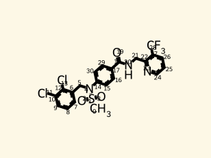 CS(=O)(=O)N(Cc1cccc(Cl)c1Cl)c1ccc(C(=O)NCc2ncccc2C(F)(F)F)cc1